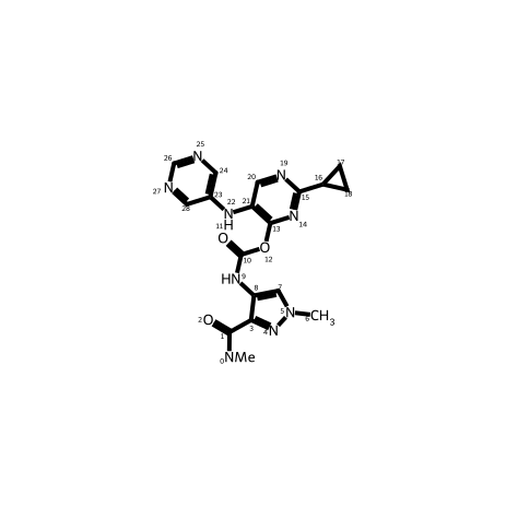 CNC(=O)c1nn(C)cc1NC(=O)Oc1nc(C2CC2)ncc1Nc1cncnc1